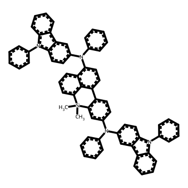 C[Si]1(C)c2cc(N(c3ccccc3)c3ccc4c(c3)c3ccccc3n4-c3ccccc3)ccc2-c2ccc(N(c3ccccc3)c3ccc4c(c3)c3ccccc3n4-c3ccccc3)c3cccc1c23